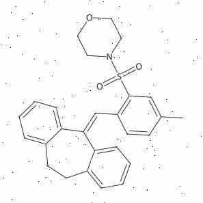 Cc1ccc(C=C2c3ccccc3CCc3ccccc32)c(S(=O)(=O)N2CCOCC2)c1